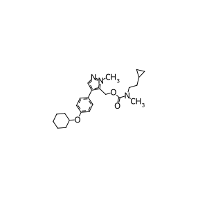 CN(CCC1CC1)C(=O)OCc1c(-c2ccc(OC3CCCCC3)cc2)cnn1C